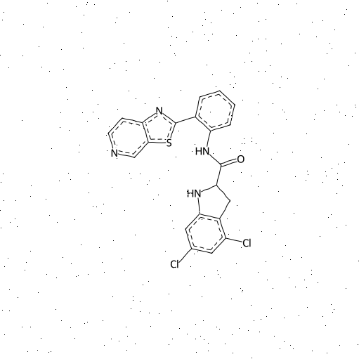 O=C(Nc1ccccc1-c1nc2ccncc2s1)C1Cc2c(Cl)cc(Cl)cc2N1